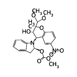 COC(=O)O[C@H]1Cc2ccccc2N1[C@@H]1c2cc([N+](=O)[O-])ccc2O[C@](C)(C(OC)OC)[C@H]1O